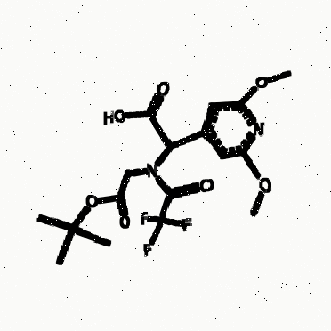 COc1cc(C(C(=O)O)N(CC(=O)OC(C)(C)C)C(=O)C(F)(F)F)cc(OC)n1